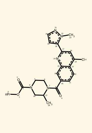 CCCOC(=O)N1CCN(C(=O)c2ccc3c(Cl)cc(-c4ccnn4C)nc3c2)C(C)C1